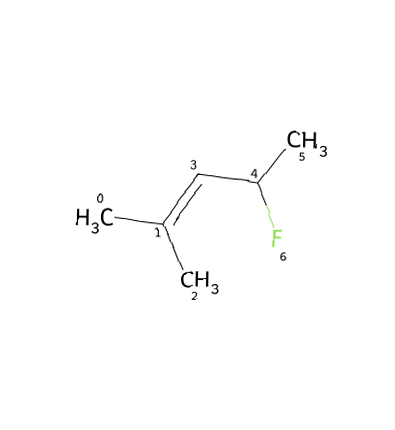 CC(C)=CC(C)F